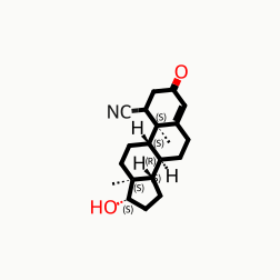 C[C@]12CC[C@H]3[C@@H](CCC4=CC(=O)CC(C#N)[C@@]43C)[C@@H]1CC[C@@H]2O